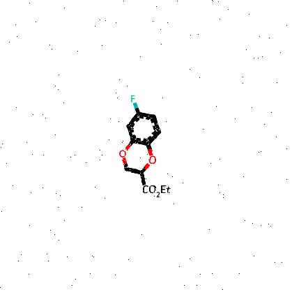 CCOC(=O)C1COc2cc(F)ccc2O1